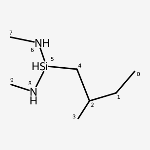 CCC(C)C[SiH](NC)NC